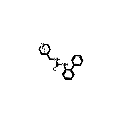 O=C(NCC12CCN(CC1)CC2)Nc1ccccc1-c1ccccc1